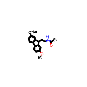 CCOc1ccc2c(c1)C(CCNC(=O)CC)c1cc(OC)ccc1-2